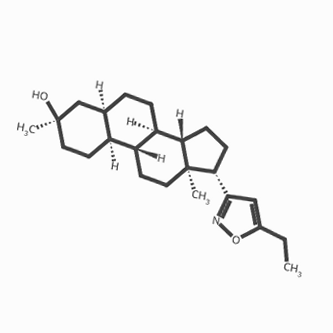 CCc1cc([C@H]2CC[C@H]3[C@@H]4CC[C@@H]5C[C@](C)(O)CC[C@@H]5[C@H]4CC[C@]23C)no1